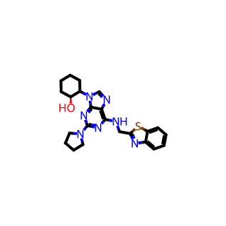 O[C@H]1CCCCC1n1cnc2c(NCc3nc4ccccc4s3)nc(N3CCCC3)nc21